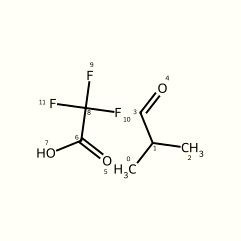 CC(C)C=O.O=C(O)C(F)(F)F